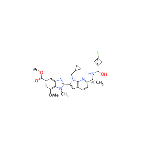 COc1cc(C(=O)OC(C)C)cc2nc(-c3cc4ccc([C@@H](C)NC(O)C56CC(F)(C5)C6)nc4n3CC3CC3)n(C)c12